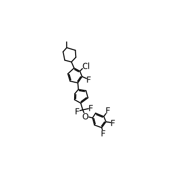 CC1CCC(c2ccc(-c3ccc(C(F)(F)Oc4cc(F)c(F)c(F)c4)cc3)c(F)c2Cl)CC1